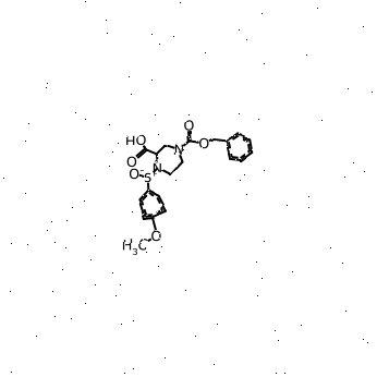 COc1ccc([S+]([O-])N2CCN(C(=O)OCc3ccccc3)CC2C(=O)O)cc1